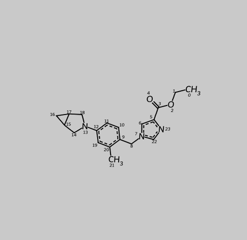 CCOC(=O)c1cn(Cc2ccc(N3CC4CC4C3)cc2C)cn1